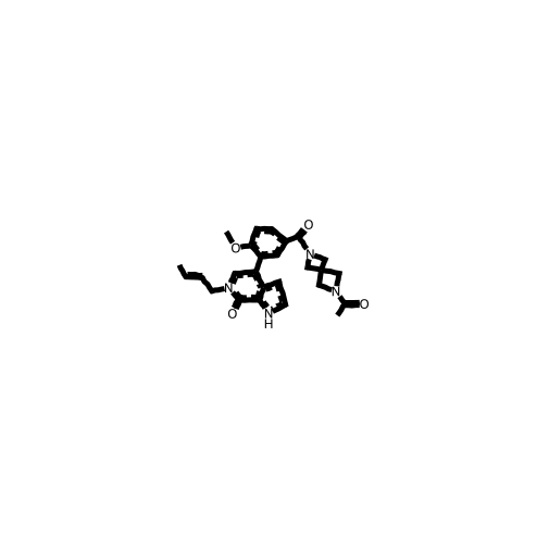 CC=CCn1cc(-c2cc(C(=O)N3CC4(CN(C(C)=O)C4)C3)ccc2OC)c2cc[nH]c2c1=O